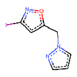 Ic1cc(Cn2cccn2)on1